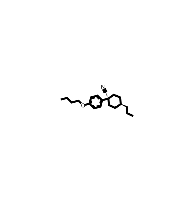 CCCCOc1ccc([C@]2(C#N)CC[C@H](CCC)CC2)cc1